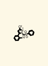 Cc1ccccc1-c1cc(C(F)(F)F)nn1NS(=O)(=O)c1ccccc1